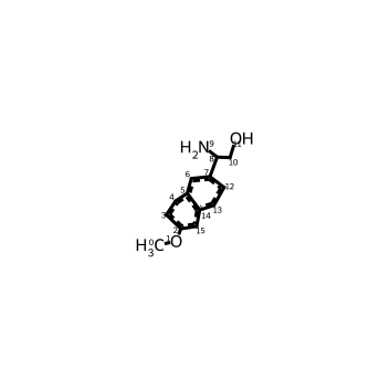 COc1ccc2cc(C(N)CO)ccc2c1